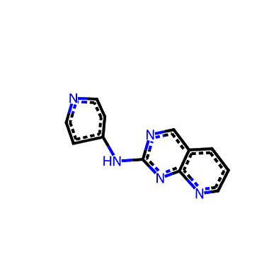 c1cnc2nc(Nc3ccncc3)ncc2c1